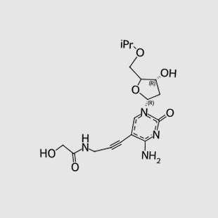 CC(C)OCC1O[C@@H](n2cc(C#CCNC(=O)CO)c(N)nc2=O)C[C@H]1O